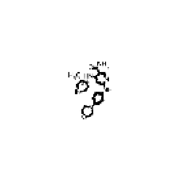 C[C@H]1CNCC[C@H]1Nc1cc(Nc2ccc(N3CCOCC3)cc2)ncc1C(N)=O